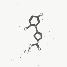 COC(=O)[C@H]1CC=C(c2cc(Cl)ccc2Cl)C1